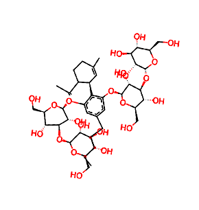 C=C(C)C1CCC(C)=C[C@H]1c1c(O[C@@H]2O[C@H](CO)[C@@H](O)[C@H](O[C@@H]3O[C@H](CO)[C@@H](O)[C@H](O)[C@H]3O)[C@H]2O)cc(CCCCC)cc1O[C@@H]1O[C@H](CO)[C@@H](O)[C@H](O[C@H]2O[C@H](CO)[C@@H](O)[C@H](O)[C@H]2O)[C@H]1O